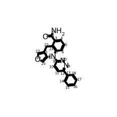 NC(=O)c1cccc(Nc2ccc(-c3ccccc3)nn2)c1Cc1ccoc1